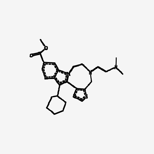 COC(=O)c1ccc2c(C3CCCCC3)c3n(c2c1)CCN(CCN(C)C)Cc1sccc1-3